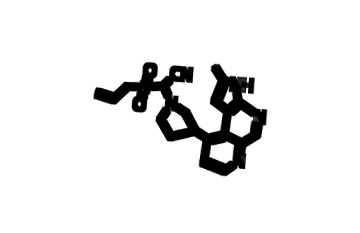 C=CCS(=O)(=O)C(C#N)N1CCC(c2ccnc3cnc4[nH]c(C)cc4c23)C1